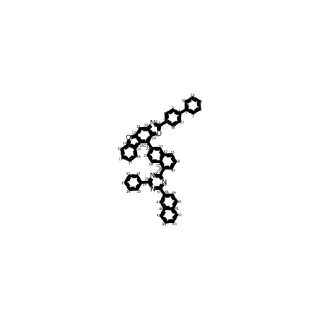 c1ccc(-c2ccc(-c3nc4cc5oc6ccccc6c5c(-c5ccc6c(-c7nc(-c8ccccc8)nc(-c8ccc9ccccc9c8)n7)cccc6c5)c4o3)cc2)cc1